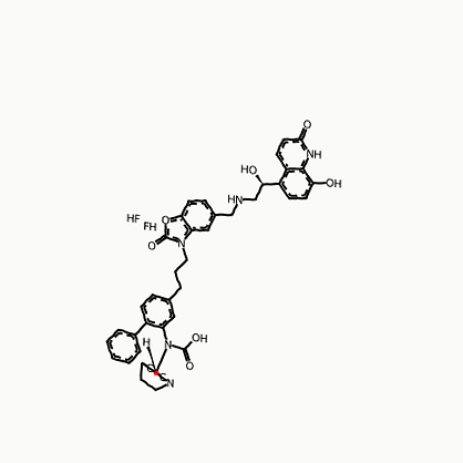 F.F.O=C(O)N(c1cc(CCCn2c(=O)oc3ccc(CNC[C@@H](O)c4ccc(O)c5[nH]c(=O)ccc45)cc32)ccc1-c1ccccc1)[C@H]1CN2CCC1CC2